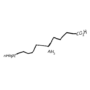 CCCCCCCCCCCCCCC(=O)O.[AlH3]